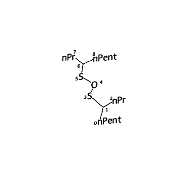 CCCCCC(CCC)SOSC(CCC)CCCCC